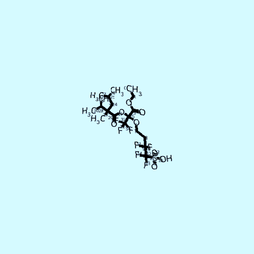 CCOC(=O)C(OCCC(F)(F)C(F)(F)S(=O)(=O)O)(OC(=O)C(C)(CC(C)C)C(C)C)C(F)(F)F